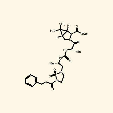 COC(=O)[C@@H]1[C@@H]2[C@H](CN1C(=O)[C@@H](NC(=O)N[C@H](CN1CCN(C(=O)OCc3ccccc3)S1(=O)=O)C(C)(C)C)C(C)(C)C)C2(C)C